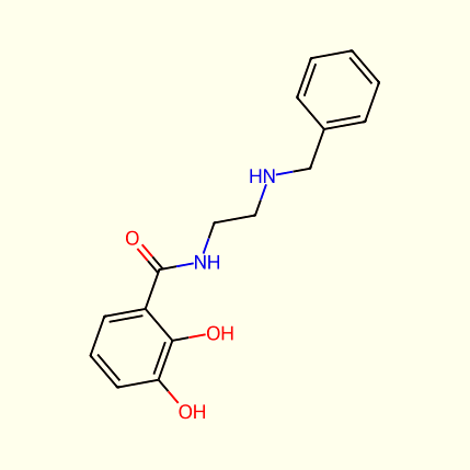 O=C(NCCNCc1ccccc1)c1cccc(O)c1O